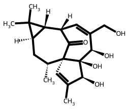 CC1=C[C@]23C(=O)[C@@H](C=C(CO)[C@@H](O)[C@]2(O)[C@H]1O)[C@@H]1[C@@H](C[C@H]3C)C1(C)C